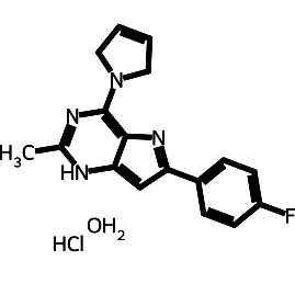 Cc1nc(N2CC=CC2)c2nc(-c3ccc(F)cc3)cc-2[nH]1.Cl.O